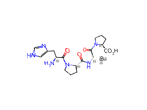 CC[C@H](C)[C@H](NC(=O)[C@@H]1CCCN1C(=O)[C@@H](N)Cc1c[nH]cn1)C(=O)N1CCC[C@H]1C(=O)O